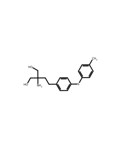 Cc1ccc(Sc2ccc(CCC(N)(CO)CO)cc2)cc1